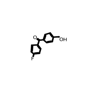 O=C(c1ccc(F)cc1)c1ccc(CO)cc1